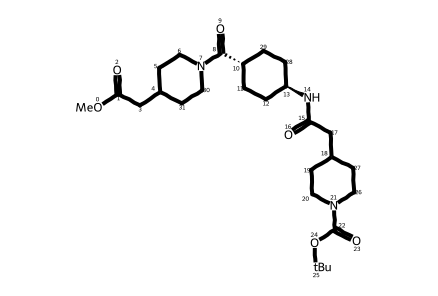 COC(=O)CC1CCN(C(=O)[C@H]2CC[C@H](NC(=O)CC3CCN(C(=O)OC(C)(C)C)CC3)CC2)CC1